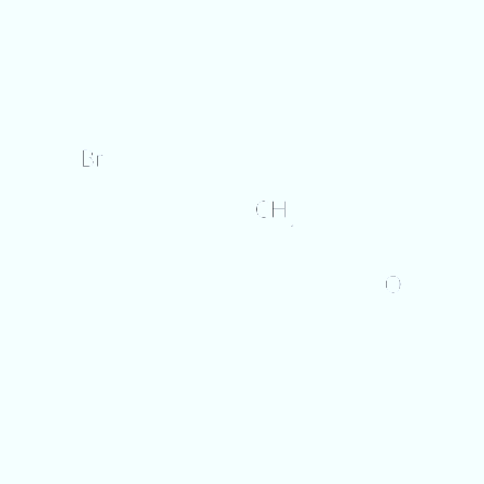 C=CCBr.c1ccoc1